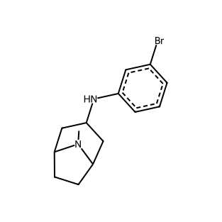 CN1C2CCC1CC(Nc1cccc(Br)c1)C2